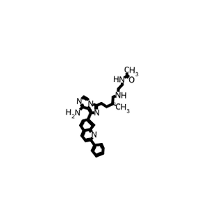 CC(=O)NCCNC[C@H](C)CCc1nc(-c2ccc3ccc(-c4ccccc4)nc3c2)c2c(N)nccn12